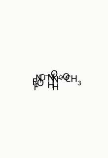 COC12CC(NC(=O)NCc3ccnc(OC(F)F)c3)(C1)C2